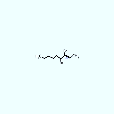 C/C=C(\Br)C(Br)CCCCC